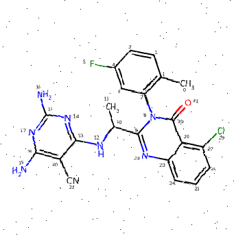 Cc1ccc(F)cc1-n1c(C(C)Nc2nc(N)nc(N)c2C#N)nc2cccc(Cl)c2c1=O